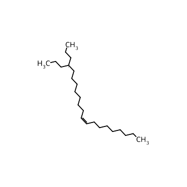 CCCCCCCC/C=C\CCCCCCC[C](CCC)CCC